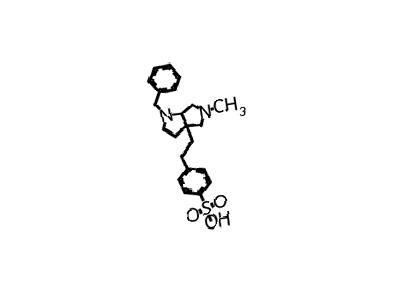 CN1CC2N(Cc3ccccc3)CCC2(CCc2ccc(S(=O)(=O)O)cc2)C1